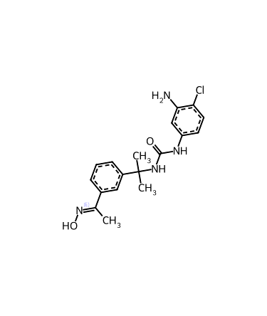 C/C(=N\O)c1cccc(C(C)(C)NC(=O)Nc2ccc(Cl)c(N)c2)c1